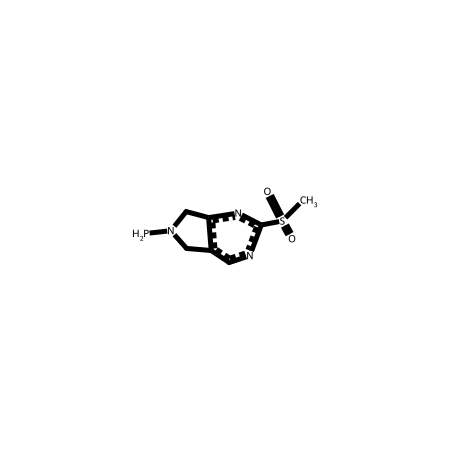 CS(=O)(=O)c1ncc2c(n1)CN(P)C2